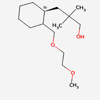 COCCOCC1CCCC[C@H]1CC(C)(C)CO